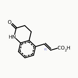 O=C(O)/C=C/c1cccc2c1CCC(=O)N2